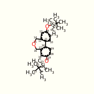 CC(C)(C)[Si](C)(C)Oc1ccc2c(c1)COCc1cc(O[Si](C)(C)C(C)(C)C)ccc1-2